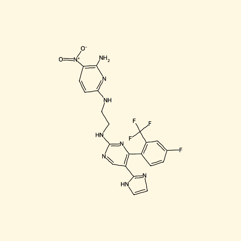 Nc1nc(NCCNc2ncc(-c3ncc[nH]3)c(-c3ccc(F)cc3C(F)(F)F)n2)ccc1[N+](=O)[O-]